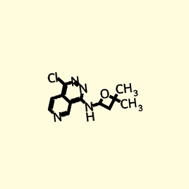 CC1(C)CC(Nc2nnc(Cl)c3ccncc23)O1